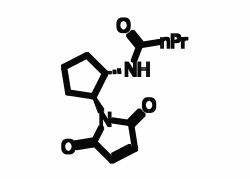 CCCC(=O)N[C@H]1CCC[C@@H]1N1C(=O)C=CC1=O